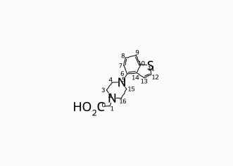 O=C(O)CN1CCN(c2cccc3sccc23)CC1